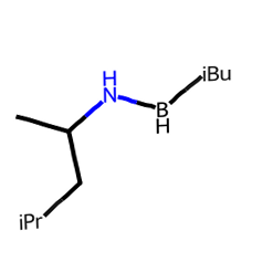 CCC(C)BNC(C)CC(C)C